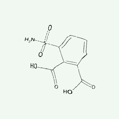 NS(=O)(=O)c1cccc(C(=O)O)c1C(=O)O